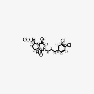 O=C(O)[C@@H]1CC[C@H]2C(=O)N(CCCc3ccc(Cl)c(Cl)c3)CC(=O)N12